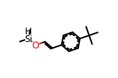 C[SiH](C)OC=Cc1ccc(C(C)(C)C)cc1